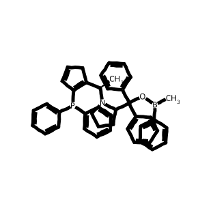 CB(OC(c1ccccc1)(c1ccccc1)C1CCCN1[C@H](C)C1=C(P(c2ccccc2)c2ccccc2)C=CC1)c1ccccc1